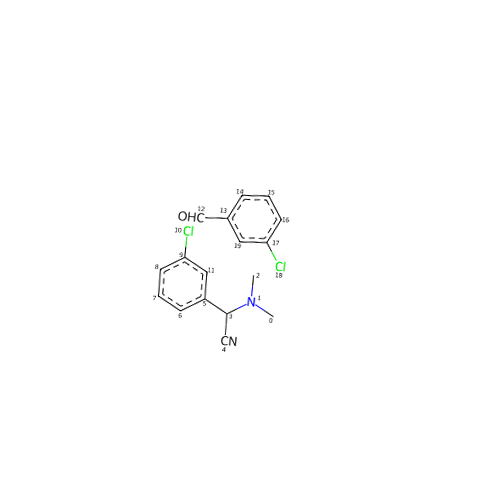 CN(C)C(C#N)c1cccc(Cl)c1.O=Cc1cccc(Cl)c1